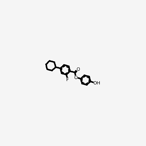 O=C(Oc1ccc(O)cc1)c1ccc(C2CCCCC2)cc1F